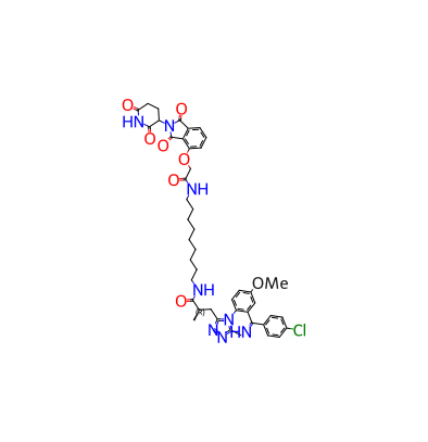 COc1ccc(-n2c(C)nnc2C[C@@H](C)C(=O)NCCCCCCCCCNC(=O)COc2cccc3c2C(=O)N(C2CCC(=O)NC2=O)C3=O)c(C(=N)c2ccc(Cl)cc2)c1